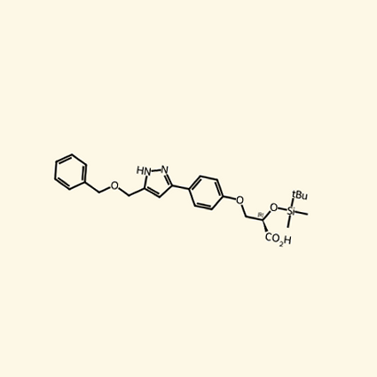 CC(C)(C)[Si](C)(C)O[C@H](COc1ccc(-c2cc(COCc3ccccc3)[nH]n2)cc1)C(=O)O